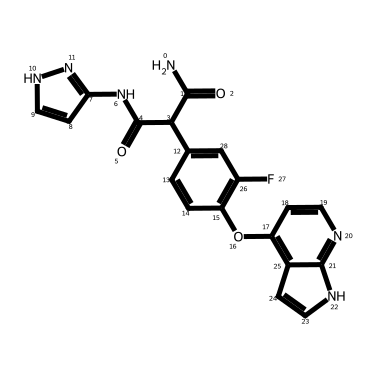 NC(=O)C(C(=O)Nc1cc[nH]n1)c1ccc(Oc2ccnc3[nH]ccc23)c(F)c1